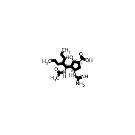 CCCC(CCC)[C@H](NC(C)=O)C1[C@H](NC(=N)N)C[C@H](C(=O)O)[C@H]1O